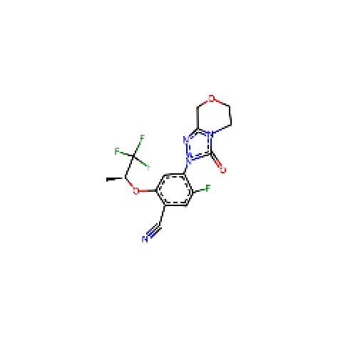 C[C@H](Oc1cc(-n2nc3n(c2=O)CCOC3)c(F)cc1C#N)C(F)(F)F